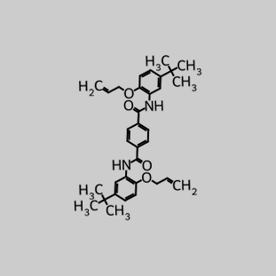 C=CCOc1ccc(C(C)(C)C)cc1NC(=O)c1ccc(C(=O)Nc2cc(C(C)(C)C)ccc2OCC=C)cc1